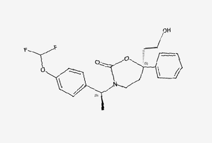 C[C@@H](c1ccc(OC(F)F)cc1)N1CC[C@](CCO)(c2ccccc2)OC1=O